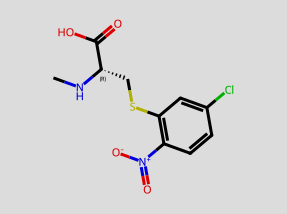 CN[C@@H](CSc1cc(Cl)ccc1[N+](=O)[O-])C(=O)O